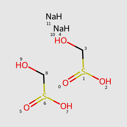 O=S(O)CO.O=S(O)CO.[NaH].[NaH]